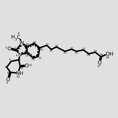 Cn1c(=O)n(C2CCC(=O)NC2=O)c2ccc(CCCCCCCCCC(=O)O)cc21